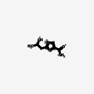 CC(O)Cc1nc(C(N)=O)c[nH]1